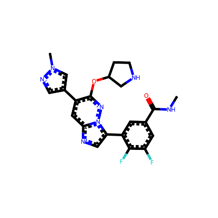 CNC(=O)c1cc(F)c(F)c(-c2cnc3cc(-c4cnn(C)c4)c(OC4CCNC4)nn23)c1